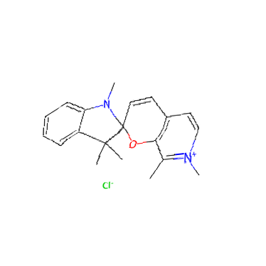 Cc1c2c(cc[n+]1C)C=CC1(O2)N(C)c2ccccc2C1(C)C.[Cl-]